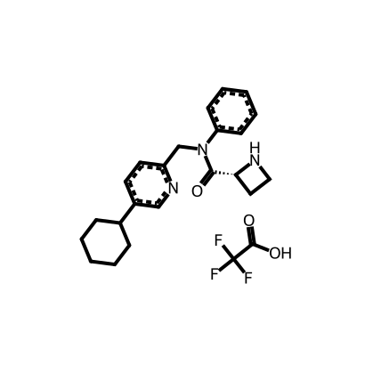 O=C(O)C(F)(F)F.O=C([C@H]1CCN1)N(Cc1ccc(C2CCCCC2)cn1)c1ccccc1